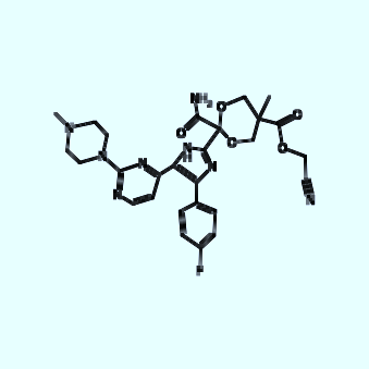 CN1CCN(c2nccc(-c3[nH]c(C4(C(N)=O)OCC(C)(C(=O)OCC#N)CO4)nc3-c3ccc(F)cc3)n2)CC1